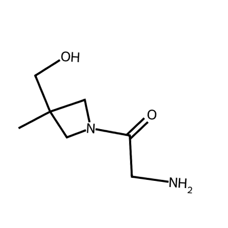 CC1(CO)CN(C(=O)CN)C1